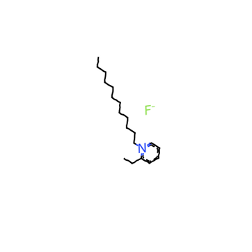 CCCCCCCCCCCC[n+]1ccccc1CC.[F-]